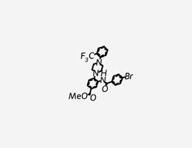 COC(=O)c1ccc(N2CCN(c3ccccc3C(F)(F)F)CC2)c(NC(=O)c2ccc(Br)cc2)c1